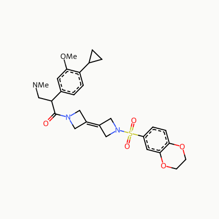 CNCC(C(=O)N1CC(=C2CN(S(=O)(=O)c3ccc4c(c3)OCCO4)C2)C1)c1ccc(C2CC2)c(OC)c1